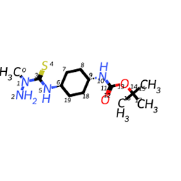 CN(N)C(=S)N[C@H]1CC[C@H](NC(=O)OC(C)(C)C)CC1